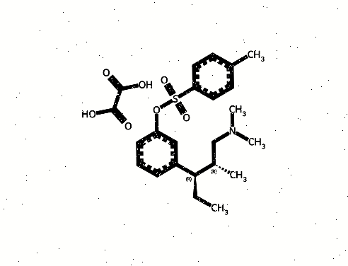 CC[C@@H](c1cccc(OS(=O)(=O)c2ccc(C)cc2)c1)[C@@H](C)CN(C)C.O=C(O)C(=O)O